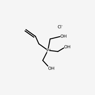 C=CC[P+](CO)(CO)CO.[Cl-]